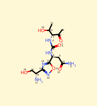 CC(=O)[C@H](NC(=O)N[C@@H](CC(N)=O)c1nc([C@H](N)CO)no1)C(C)O